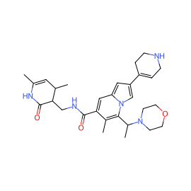 CC1=CC(C)C(CNC(=O)c2cc3cc(C4=CCNCC4)cn3c(C(C)N3CCOCC3)c2C)C(=O)N1